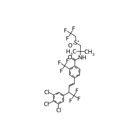 CC(C)(C[S+]([O-])CC(F)(F)F)NC(=O)c1ccc(/C=C/C(c2cc(Cl)c(Cl)c(Cl)c2)C(F)(F)F)cc1C(F)(F)F